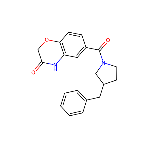 O=C1COc2ccc(C(=O)N3CCC(Cc4ccccc4)C3)cc2N1